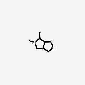 CC1C2ONCC2CN1C